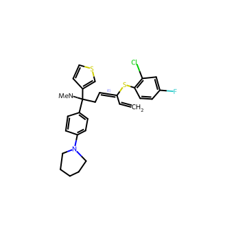 C=C/C(=C\CC(NC)(c1ccc(N2CCCCC2)cc1)c1ccsc1)Sc1ccc(F)cc1Cl